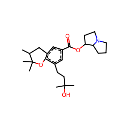 CC1Cc2cc(C(=O)OC3CCN4CCCC34)cc(CCC(C)(C)O)c2OC1(C)C